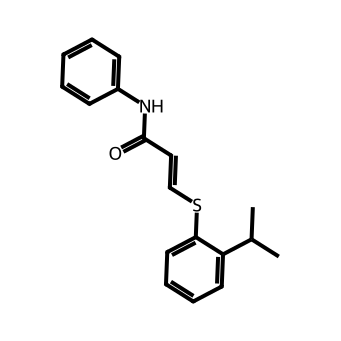 CC(C)c1ccccc1SC=CC(=O)Nc1ccccc1